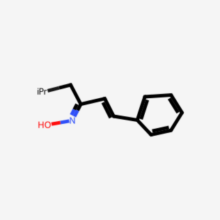 CC(C)CC(C=Cc1ccccc1)=NO